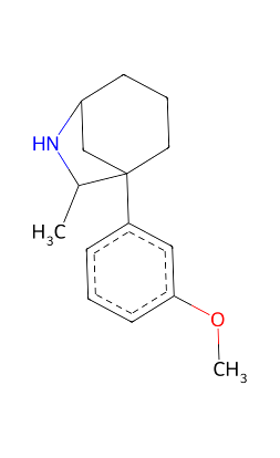 COc1cccc(C23CCCC(C2)NC3C)c1